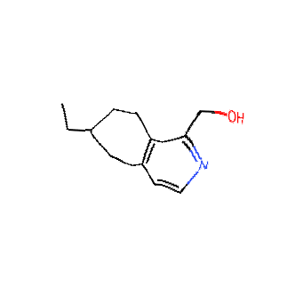 CCC1CCc2c(ccnc2CO)C1